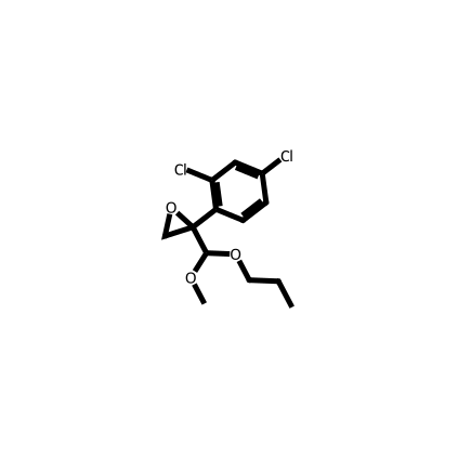 CCCOC(OC)C1(c2ccc(Cl)cc2Cl)CO1